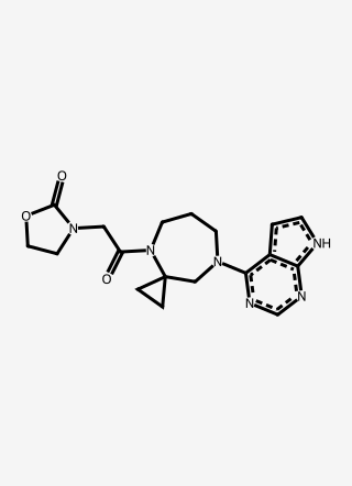 O=C1OCCN1CC(=O)N1CCCN(c2ncnc3[nH]ccc23)CC12CC2